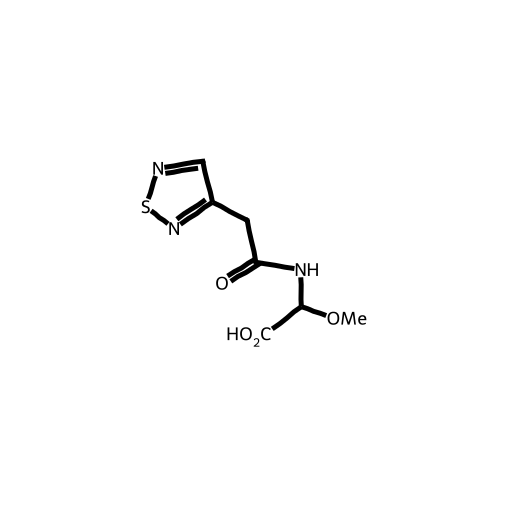 COC(NC(=O)Cc1cnsn1)C(=O)O